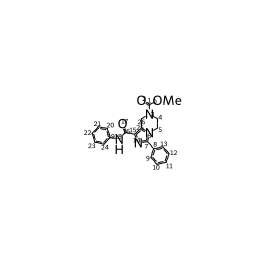 COC(=O)N1CCn2c(-c3ccccc3)nc(C(=O)Nc3ccccc3)c2C1